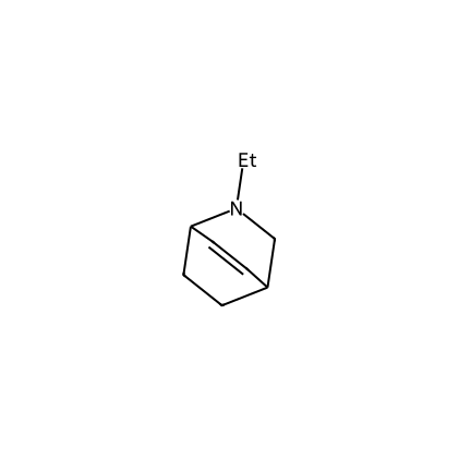 CCN1CC2C=CC1CC2